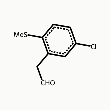 CSc1ccc(Cl)cc1CC=O